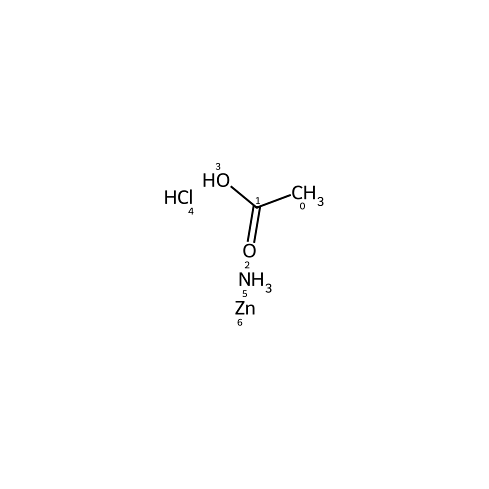 CC(=O)O.Cl.N.[Zn]